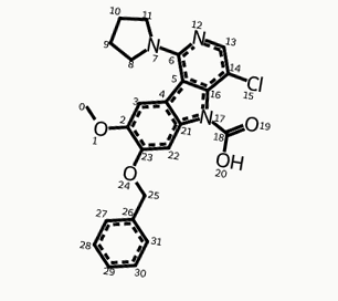 COc1cc2c3c(N4CCCC4)ncc(Cl)c3n(C(=O)O)c2cc1OCc1ccccc1